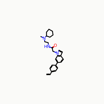 C=Cc1ccc(-c2ccc3ccn(CC(=O)NCCN(C)C4CCCCC4)c3c2)cc1